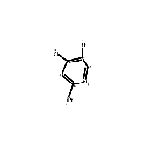 CCc1cnc(C(C)C)cc1Cl